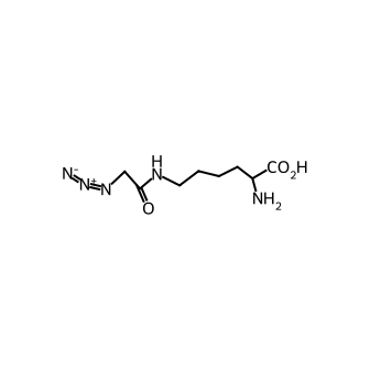 [N-]=[N+]=NCC(=O)NCCCCC(N)C(=O)O